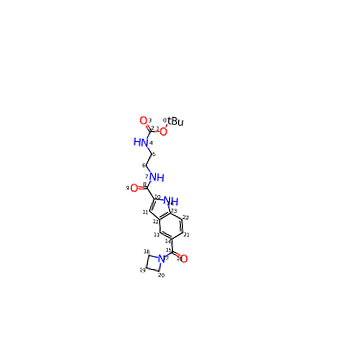 CC(C)(C)OC(=O)NCCNC(=O)c1cc2cc(C(=O)N3CCC3)ccc2[nH]1